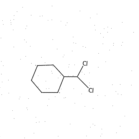 ClC(Cl)C1[CH]CC[CH]C1